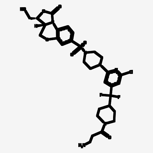 NCCC(=O)N1CCC(C(F)(F)c2cc(Cl)nc(N3CCN(S(=O)(=O)c4ccc5c(c4)OC[C@@H]4[C@H](CO)OC(=O)N54)CC3)c2)CC1